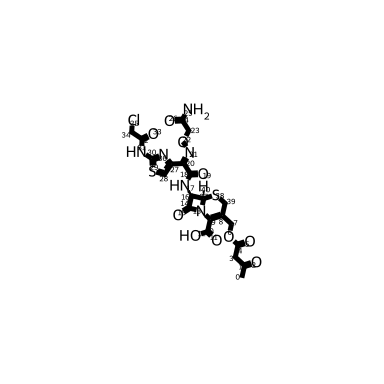 CC(=O)CC(=O)OCC1=C(C(=O)O)N2C(=O)[C@@H](NC(=O)/C(=N/OCC(N)=O)c3csc(NC(=O)CCl)n3)[C@H]2SC1